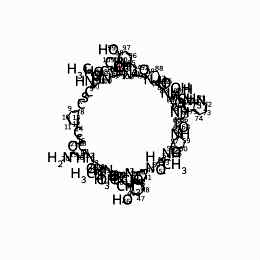 CC(=O)N[C@H]1CSCc2cccc(c2)CSC[C@@H](CC(N)=O)NC(=O)[C@H]([C@@H](C)O)NC(=O)[C@](C)(C(C)C)NC(=O)[C@H](Cc2ccc(O)cc2)NC(=O)[C@H](C)NC(=O)C2(CCCC2)NC(=O)[C@H](Cc2c[nH]c3ncccc23)NC(=O)[C@H]([C@@H](C)O)NC(=O)[C@@H]2CCCN2C(=O)[C@H](Cc2ccc(O)cc2)NC(=O)[C@H](C(C)(C)C)NC1=O